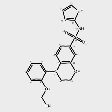 N#CCOc1ccccc1N1CCOc2cc(S(=O)(=O)Nc3nccs3)ccc21